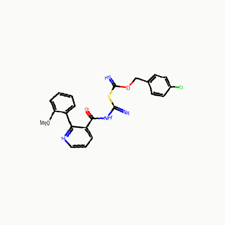 COc1ccccc1-c1ncccc1C(=O)NC(=N)SC(=N)OCc1ccc(Cl)cc1